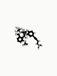 [2H]C([2H])([2H])N1C(=O)c2cccc(OC(F)F)c2[C@H]2C[C@@H]1c1nc3ccc(C#CCCN(C)C)cc3n12